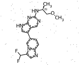 COC[C@H](C)Nc1ncc2c(-c3ccc4ncc(C(F)F)n4c3)c[nH]c2n1